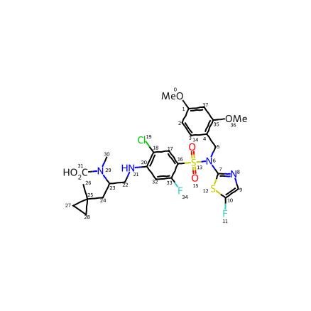 COc1ccc(CN(c2ncc(F)s2)S(=O)(=O)c2cc(Cl)c(NCC(CC3(C)CC3)N(C)C(=O)O)cc2F)c(OC)c1